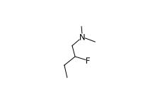 CCC(F)CN(C)C